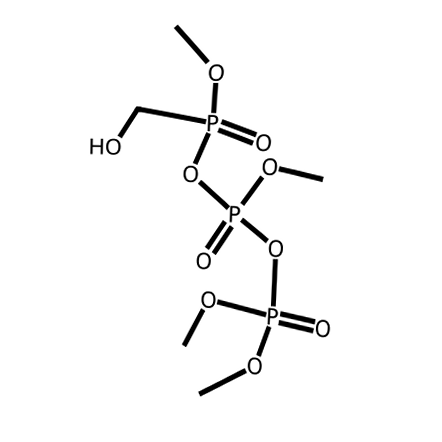 COP(=O)(CO)OP(=O)(OC)OP(=O)(OC)OC